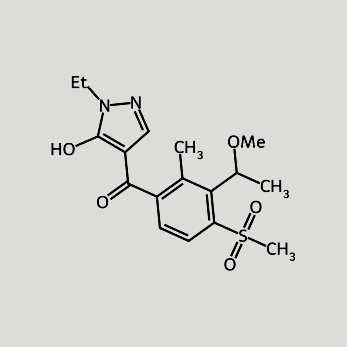 CCn1ncc(C(=O)c2ccc(S(C)(=O)=O)c(C(C)OC)c2C)c1O